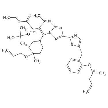 C=CCOC1(C)CCN(c2c([C@H](OC(C)(C)C)C(=O)OCC)c(C)nc3cc(-c4ncc(Cc5ccccc5O[C@H](C)CC=C)s4)nn23)CC1